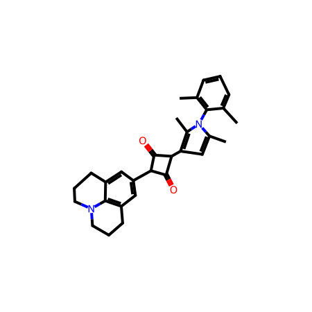 Cc1cccc(C)c1-n1c(C)cc(C2C(=O)C(c3cc4c5c(c3)CCCN5CCC4)C2=O)c1C